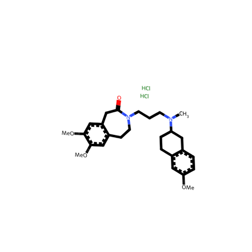 COc1ccc2c(c1)CCC(N(C)CCCN1CCc3cc(OC)c(OC)cc3CC1=O)C2.Cl.Cl